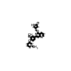 COc1cc(-c2cc3ncccc3c(OC[C@H]3CNC(=O)C3)n2)ccc1OC1CCCN(C)C1